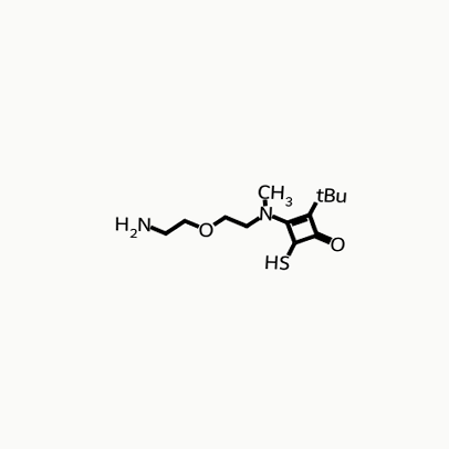 CN(CCOCCN)C1=C(C(C)(C)C)C(=O)C1S